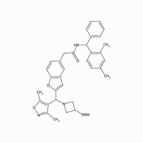 CNC1CN(C(c2cc3cc(CC(=O)NC(c4ccccc4)c4ccc(C)cc4C)ccc3o2)c2c(C)noc2C)C1